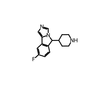 Fc1ccc2c(c1)-c1cncn1C2C1CCNCC1